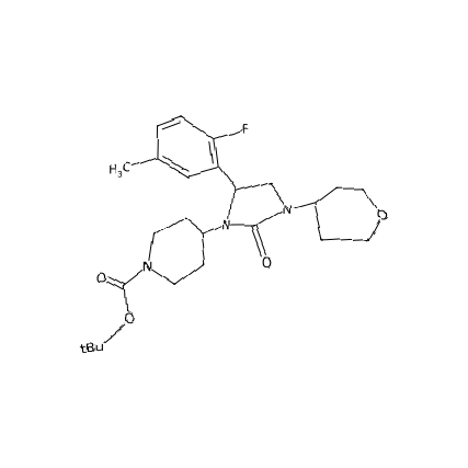 Cc1ccc(F)c(C2CN(C3CCOCC3)C(=O)N2C2CCN(C(=O)OC(C)(C)C)CC2)c1